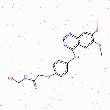 COc1cc2ncnc(Nc3ccc(OCC(=O)NCO)cc3)c2cc1OC